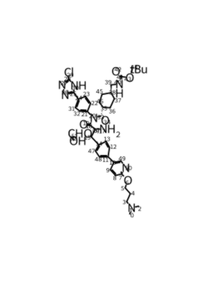 CN(C)CCCOc1ccc(-c2ccc(C[C@H](N)C(=O)N(c3ccc(-c4nnc(Cl)[nH]4)cc3)C(=O)[C@H]3CC[C@H](CNC(=O)OC(C)(C)C)CC3)cc2)cn1.O=CO